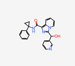 O=C(NC1(c2ccccc2)CC1)c1nc(C(O)c2cccnc2)n2ccccc12